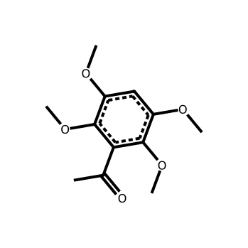 COc1cc(OC)c(OC)c(C(C)=O)c1OC